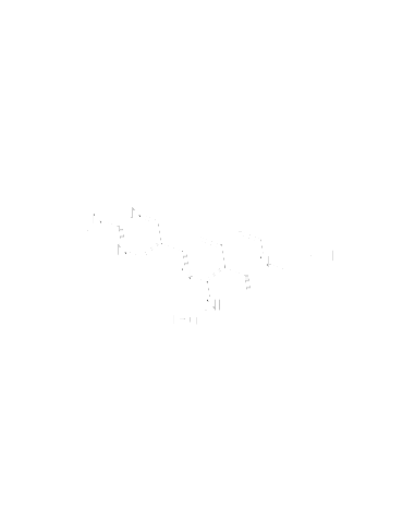 CC(C)(C)Nc1nc(-c2cnc(N)nc2)cc2ccn(CC(=O)O)c(=O)c12